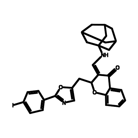 O=C1/C(=C\NC23CC4CC(CC(C4)C2)C3)C(Cc2cnc(-c3ccc(I)cc3)o2)Oc2ccccc21